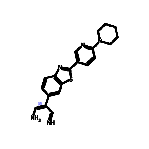 N=C/C(=C\N)c1ccc2nc(-c3ccc(N4CCCCC4)nc3)sc2c1